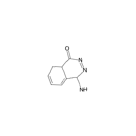 [NH]C1N=NC(=O)C2CC=CC=C12